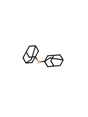 C1C2CC3CC1CC(SC14CC5CC(CC(C5)C1)C4)(C2)C3